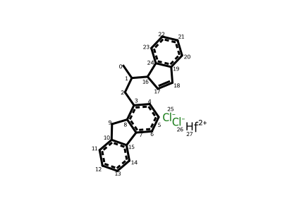 CC(Cc1cccc2c1Cc1ccccc1-2)C1C=Cc2ccccc21.[Cl-].[Cl-].[Hf+2]